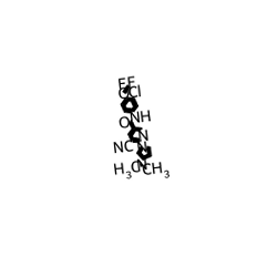 CN(C)[C@@H]1CCN(c2ncc(C(=O)Nc3ccc(OC(F)(F)Cl)cc3)cc2C#N)C1